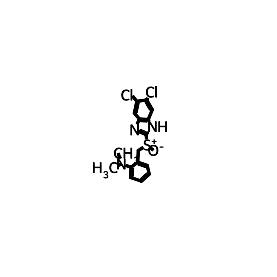 CN(C)c1ccccc1C[S+]([O-])c1nc2cc(Cl)c(Cl)cc2[nH]1